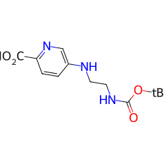 CC(C)(C)OC(=O)NCCNc1ccc(C(=O)O)nc1